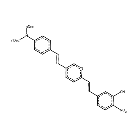 CCCCCCCCCCN(CCCCCCCCCC)c1ccc(/C=C/c2ccc(/C=C/c3ccc([N+](=O)[O-])c(C#N)c3)nc2)cc1